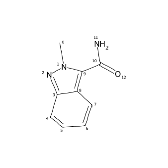 Cn1nc2ccc[c]c2c1C(N)=O